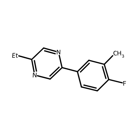 CCc1cnc(-c2ccc(F)c(C)c2)cn1